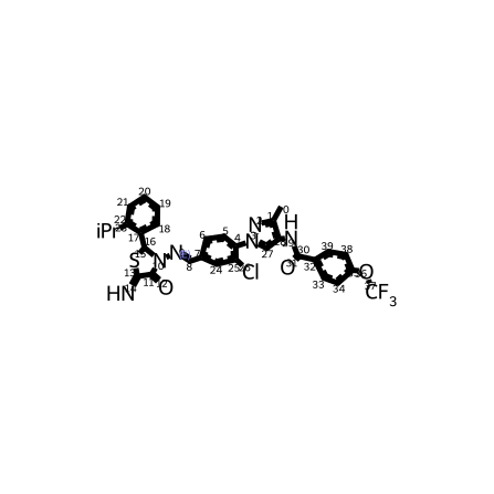 Cc1nn(-c2ccc(/C=N/N3C(=O)C(=N)SC3c3ccccc3C(C)C)cc2Cl)cc1NC(=O)c1ccc(OC(F)(F)F)cc1